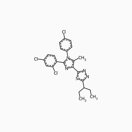 CCC(CC)c1nnc(-c2nc(-c3ccc(Cl)cc3Cl)n(-c3ccc(Cl)cc3)c2C)s1